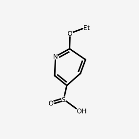 CCOc1ccc(S(=O)O)cn1